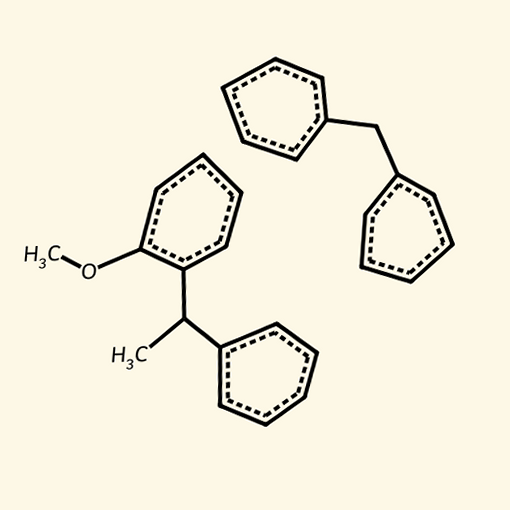 COc1ccccc1C(C)c1ccccc1.c1ccc(Cc2ccccc2)cc1